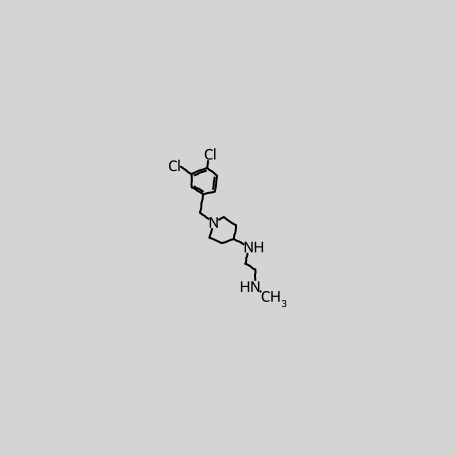 CNCCNC1CCN(Cc2ccc(Cl)c(Cl)c2)CC1